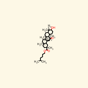 CC(C)CCCCOC(=O)[C@@]1(C)CC[C@]2(C)CC[C@]3(C)C(=CC(=O)C4[C@@]5(C)CCC(O)C(C)(C)C5CC[C@]43C)C2C1